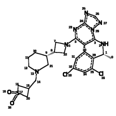 C[C@@H](Nc1cc(N2CC([C@H]3CCCN(CC4CS(=O)(=O)C4)C3)C2)nc2ncnn12)c1ccc(Cl)cc1Cl